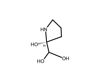 OC(O)[C@]1(O)CCCN1